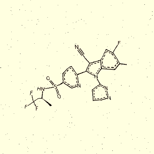 Cc1cc2c(cc1F)c(C#N)c(-c1ccc(S(=O)(=O)N[C@@H](C)C(F)(F)F)cn1)n2-c1cccnn1